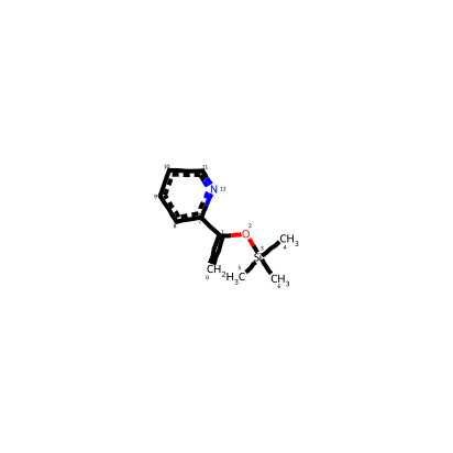 C=C(O[Si](C)(C)C)c1ccccn1